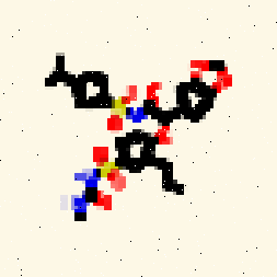 CCCc1cc(S(=O)(=O)NC(=O)NC)ccc1OC(C(=O)NS(=O)(=O)c1ccc(C(C)C)cc1)c1ccc2c(c1)OCO2